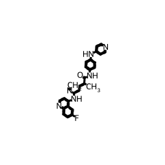 C=N/C(=C\C=C(/C)C(=O)Nc1ccc(Nc2ccncc2)cc1)Nc1ccnc2ccc(F)cc12